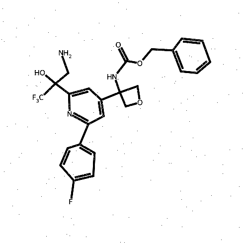 NCC(O)(c1cc(C2(NC(=O)OCc3ccccc3)COC2)cc(-c2ccc(F)cc2)n1)C(F)(F)F